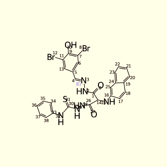 O=C(N/N=C/c1cc(Br)c(O)c(Br)c1)C(Nc1ccc2ccccc2c1)C(=O)NNC(=S)Nc1ccccc1